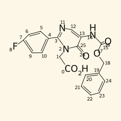 O=C(O)Cn1c(-c2ccc(F)cc2)ncc(NC(=O)OCc2ccccc2)c1=O